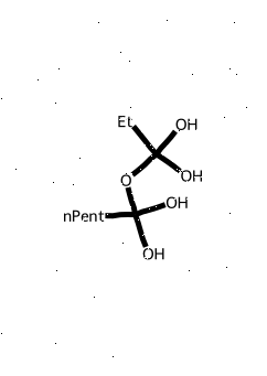 CCCCCC(O)(O)OC(O)(O)CC